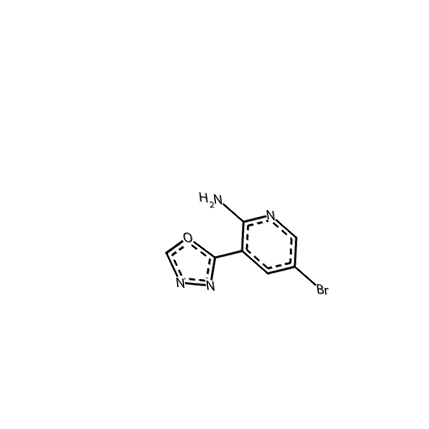 Nc1ncc(Br)cc1-c1nnco1